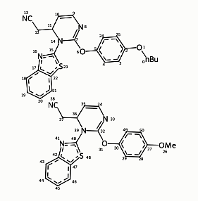 CCCCOc1ccc(OC2=NC=CC(CC#N)N2c2nc3ccccc3s2)cc1.COc1ccc(OC2=NC=CC(CC#N)N2c2nc3ccccc3s2)cc1